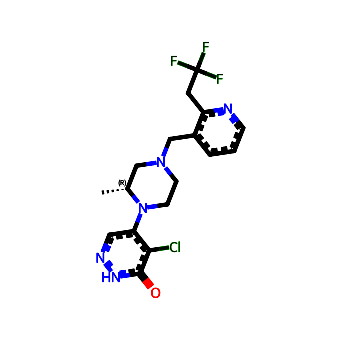 C[C@@H]1CN(Cc2cccnc2CC(F)(F)F)CCN1c1cn[nH]c(=O)c1Cl